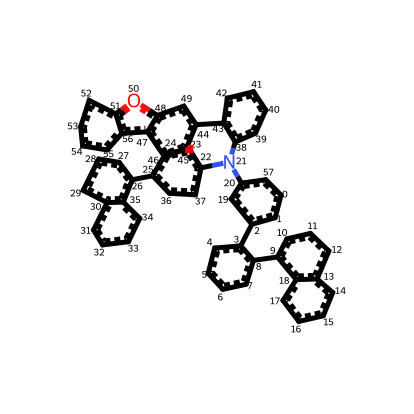 c1cc(-c2ccccc2-c2cccc3ccccc23)cc(N(c2ccc(-c3cccc4ccccc34)cc2)c2ccccc2-c2ccc3c(c2)oc2ccccc23)c1